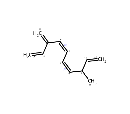 C=CC(=C)/C=C\C=C/C(C)C=C